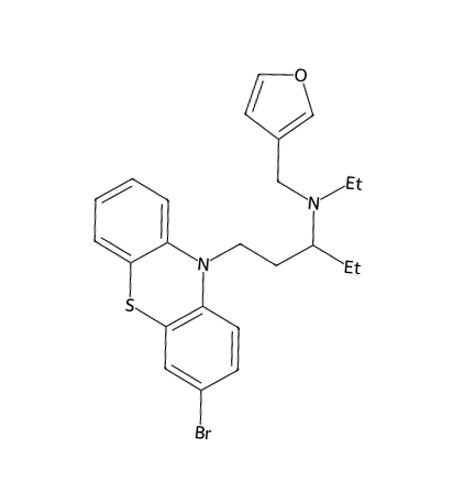 CCC(CCN1c2ccccc2Sc2cc(Br)ccc21)N(CC)Cc1ccoc1